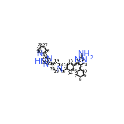 Nc1ncc(-c2ccccc2)c(-c2ccc(CN3CCC(c4n[nH]c(-c5ccccn5)n4)CC3)cc2)n1